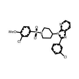 COc1ccc(S(=O)(=O)N2CCC(n3c(-c4cccc(Cl)c4)nc4cccnc43)CC2)cc1Cl